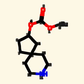 CC(C)(C)OC(=O)OC1CCC2(CCNCC2)C1